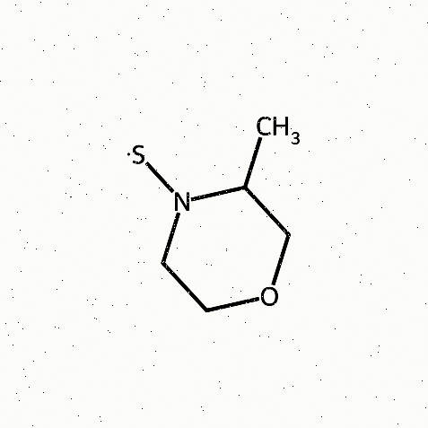 CC1COCCN1[S]